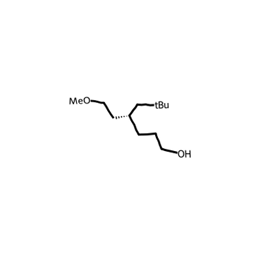 COCC[C@@H](CCCO)CC(C)(C)C